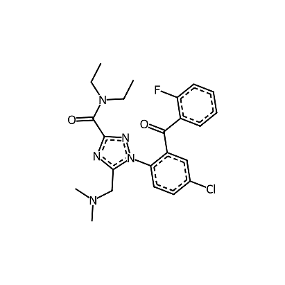 CCN(CC)C(=O)c1nc(CN(C)C)n(-c2ccc(Cl)cc2C(=O)c2ccccc2F)n1